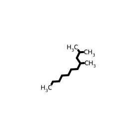 CCCCCCCC(C)CC(C)C